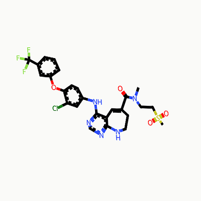 CN(CCS(C)(=O)=O)C(=O)C1=Cc2c(ncnc2Nc2ccc(Oc3cccc(C(F)(F)F)c3)c(Cl)c2)NCC1